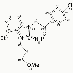 CCc1cccc2c1n(CCCOC)c(=N)n2CC(=O)c1ccc(Cl)cc1